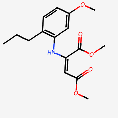 CCCc1ccc(OC)cc1NC(=CC(=O)OC)C(=O)OC